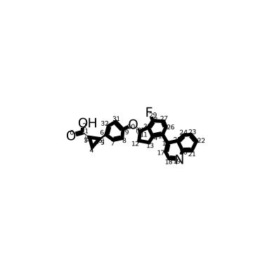 O=C(O)[C@H]1C[C@@H]1c1ccc(O[C@@H]2CCc3c(-c4ccnc5ccccc45)ccc(F)c32)cc1